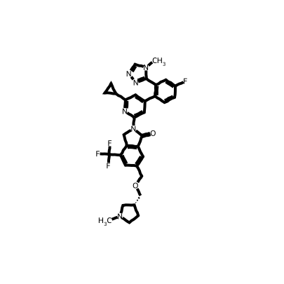 CN1CC[C@@H](COCc2cc3c(c(C(F)(F)F)c2)CN(c2cc(-c4ccc(F)cc4-c4nncn4C)cc(C4CC4)n2)C3=O)C1